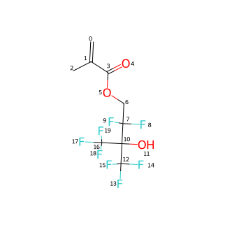 C=C(C)C(=O)OCC(F)(F)C(O)(C(F)(F)F)C(F)(F)F